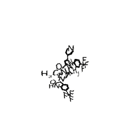 C[C@@H]1CN(C2C(=O)Nc3cc(C(F)(F)F)ccc32)C[C@H](C)N1C(=O)c1cc(-c2ccncc2)n(-c2ccc(C(F)(F)F)cc2)n1